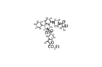 CCOC(=O)c1oc2ccc(S(=O)(=O)N(CCc3ccccc3)Cc3ccccc3N3CCN(C(=O)C(C)(C)CC)CC3)cc2c1C